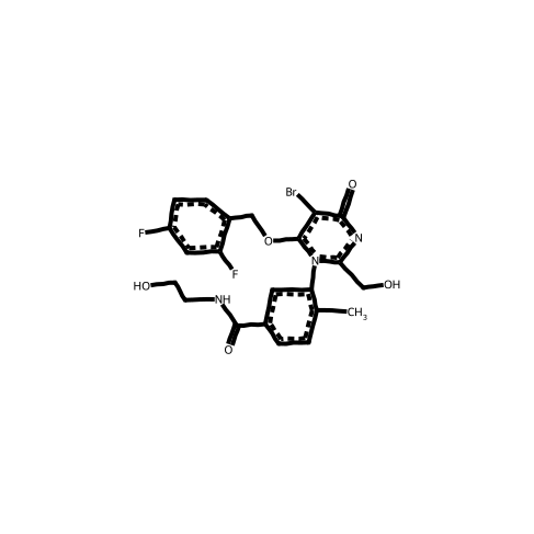 Cc1ccc(C(=O)NCCO)cc1-n1c(CO)nc(=O)c(Br)c1OCc1ccc(F)cc1F